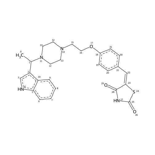 CC(c1c[nH]c2ccccc12)N1CCN(CCOc2ccc(C=C3SC(=O)NC3=O)cc2)CC1